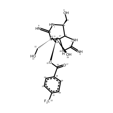 N=C1NC2[C@H](CO)NC(=N)N3[C@H](CO)[C@H](OC(=O)c4ccc(C(F)(F)F)cc4)[C@@H](O)C23N1